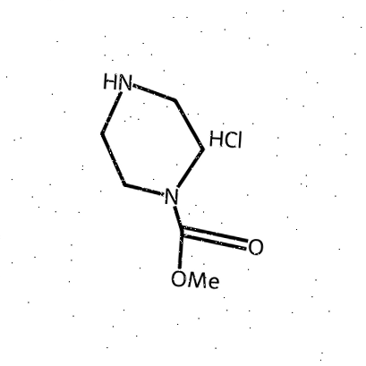 COC(=O)N1CCNCC1.Cl